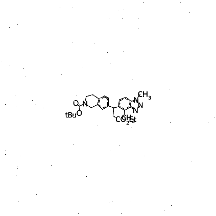 CCOC(=O)CC(c1ccc2c(c1)CN(C(=O)OC(C)(C)C)CC2)c1ccc2c(nnn2C)c1C